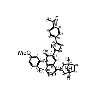 CCc1ccc(OC)cc1-n1c(CC(C)C)c(C(=O)N2C[C@H]3CC[C@@H](C2)N3)cc(-c2nc(-c3ccc(C(F)F)cc3)cs2)c1=O